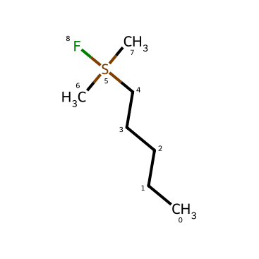 CCCCCS(C)(C)F